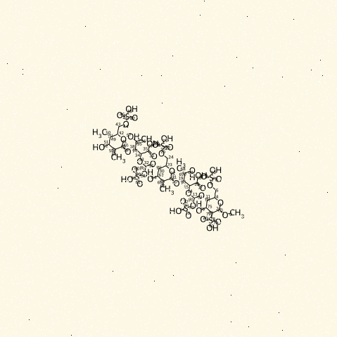 CO[C@@H]1OC(COS(=O)(=O)O)[C@@H](O[C@H](OC(C(=O)O)[C@H](O[C@@H]2OC(COS(=O)(=O)O)[C@@H](O[C@H](OC(C(=O)O)[C@H](O[C@@H]3OC(COS(=O)(=O)O)[C@@H](C)C(O)[C@@H]3C)[C@H](C)O)OS(=O)(=O)O)C(O)[C@@H]2C)[C@H](C)O)OS(=O)(=O)O)C(O)[C@@H]1S(=O)(=O)O